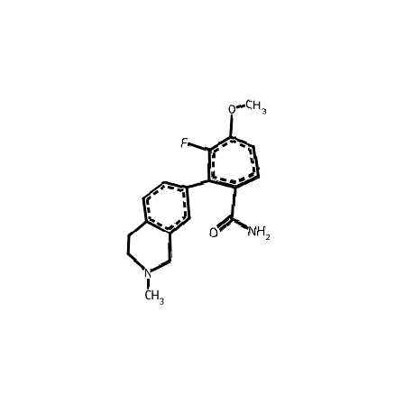 COc1ccc(C(N)=O)c(-c2ccc3c(c2)CN(C)CC3)c1F